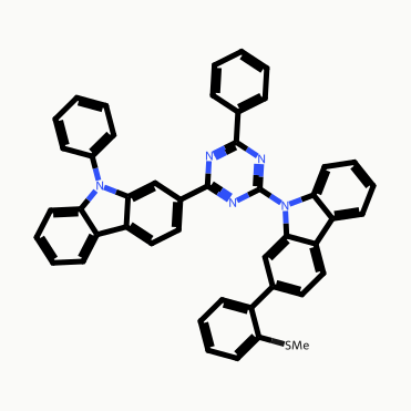 CSc1ccccc1-c1ccc2c3ccccc3n(-c3nc(-c4ccccc4)nc(-c4ccc5c6ccccc6n(-c6ccccc6)c5c4)n3)c2c1